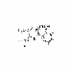 CC1CN(C(=O)O)C(c2ccccc2)CN1C1CC1